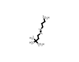 CC(C)(CCN=NCCCC(=O)O)C(=O)O